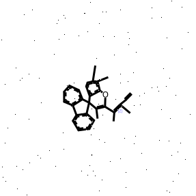 C=C/C(C)=C(/C)C1=C(C)C2(c3ccccc3-c3ccccc32)c2ccc(C)c(C)c2O1